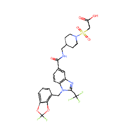 O=C(O)CS(=O)(=O)N1CCC(CNC(=O)c2ccc3c(c2)nc(C(F)(F)F)n3Cc2cccc3c2OC(F)(F)O3)CC1